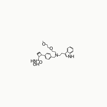 COCCOCCN(CCc1c[nH]c2ccccc12)Cc1ccc(C2C#CC2C(=O)NO)cc1